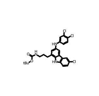 CC(C)(C)OC(=O)NCCCc1cc(Nc2ccc(Cl)c(Cl)c2)cc2c1[nH]c1ccc(Cl)cc12